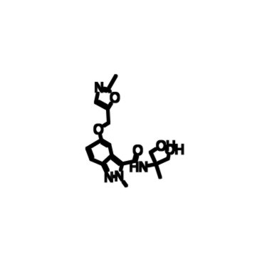 Cc1ncc(COc2ccc3nn(C)c(C(=O)NC(C)(CO)CO)c3c2)o1